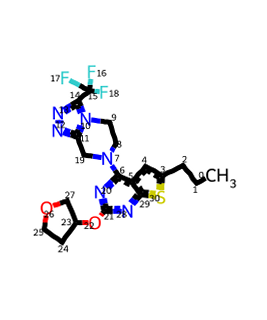 CCCc1cc2c(N3CCn4c(nnc4C(F)(F)F)C3)nc(OC3CCOC3)nc2s1